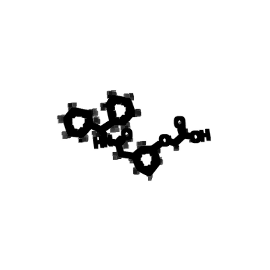 O=C(O)COc1cccc(CC(=O)NC(c2ccccc2)c2ccccc2)c1